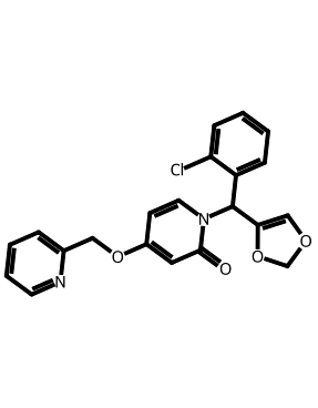 O=c1cc(OCc2ccccn2)ccn1C(C1=COCO1)c1ccccc1Cl